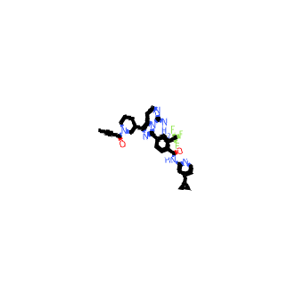 CC#CC(=O)N1CCCC(c2nc(-c3ccc(C(=O)Nc4cc(C5CC5)ccn4)c(C(F)(F)F)c3)n3c(N)nccc23)C1